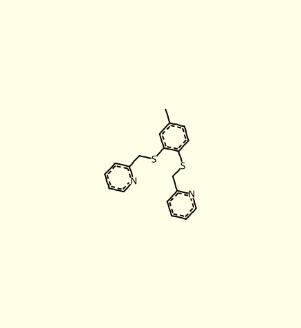 Cc1ccc(SCc2ccccn2)c(SCc2ccccn2)c1